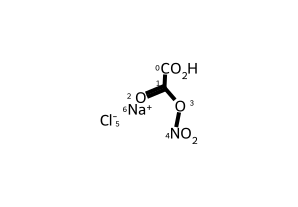 O=C(O)C(=O)O[N+](=O)[O-].[Cl-].[Na+]